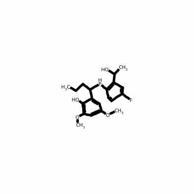 CCCC(Pc1ccc(F)cc1C(C)O)c1cc(OC)cc(OC)c1O